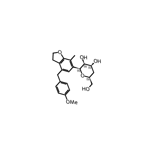 COc1ccc(Cc2cc([C@@H]3O[C@H](CO)C[C@H](O)[C@@H]3O)c(C)c3c2CCO3)cc1